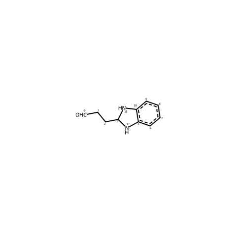 O=CCCC1Nc2ccccc2N1